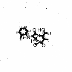 CC1=C(C(=O)O)N2C(=O)[C@@H](Nc3ccccc3C)[C@@H]2[S+]([O-])C1=O